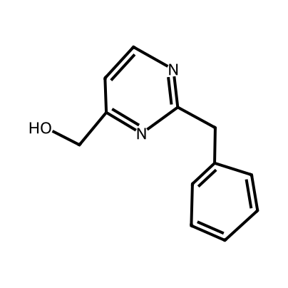 OCc1ccnc(Cc2ccccc2)n1